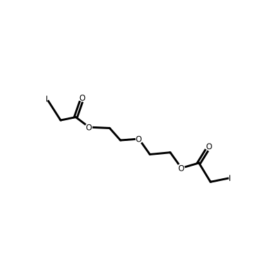 O=C(CI)OCCOCCOC(=O)CI